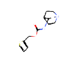 O=C(NC1CN2CCC1CC2)OCc1cccs1